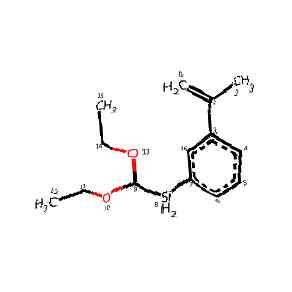 C=C(C)c1cccc([SiH2]C(OCC)OCC)c1